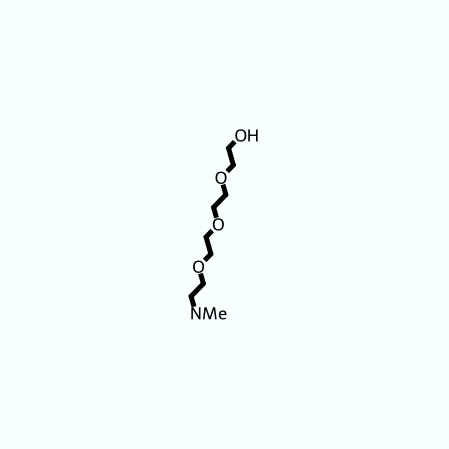 CNCCOCCOCCOCCO